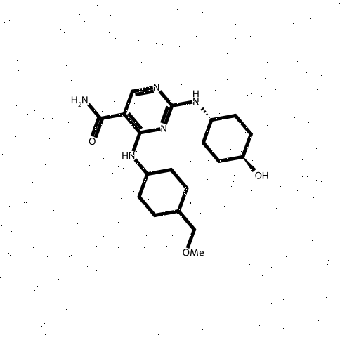 COCC1CCC(Nc2nc(N[C@H]3CC[C@H](O)CC3)ncc2C(N)=O)CC1